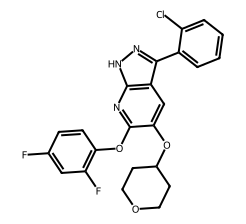 Fc1ccc(Oc2nc3[nH]nc(-c4ccccc4Cl)c3cc2OC2CCOCC2)c(F)c1